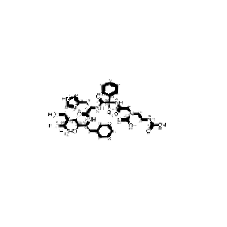 C=C[C@@H](C[C@H](O)[C@H](CC1CCCCC1)NC(=O)[C@H](Cc1c[nH]cn1)NC(=O)[C@@](C)(NC(=O)CN(CCNC(=O)O)C(=O)O)c1ccccc1)C(C)C